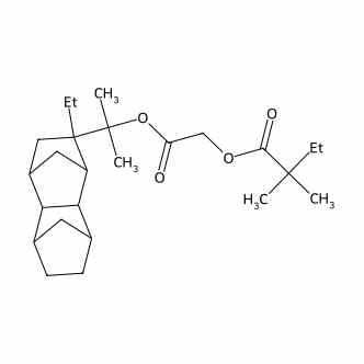 CCC(C)(C)C(=O)OCC(=O)OC(C)(C)C1(CC)CC2CC1C1C3CCC(C3)C21